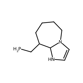 PCC1CCCCN2C=CNC12